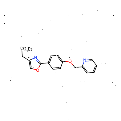 CCOC(=O)Cc1coc(-c2ccc(OCc3ccccn3)cc2)n1